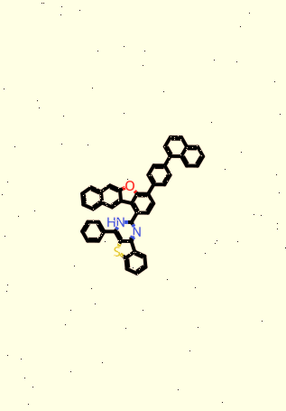 c1ccc(C2=c3sc4ccccc4c3=NC(c3ccc(-c4ccc(-c5cccc6ccccc56)cc4)c4oc5cc6ccccc6cc5c34)N2)cc1